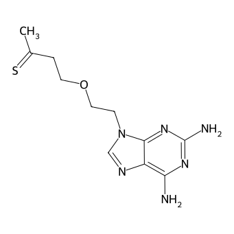 CC(=S)CCOCCn1cnc2c(N)nc(N)nc21